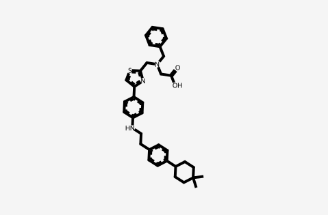 CC1(C)CCC(c2ccc(CCNc3ccc(-c4csc(CN(CC(=O)O)Cc5ccccc5)n4)cc3)cc2)CC1